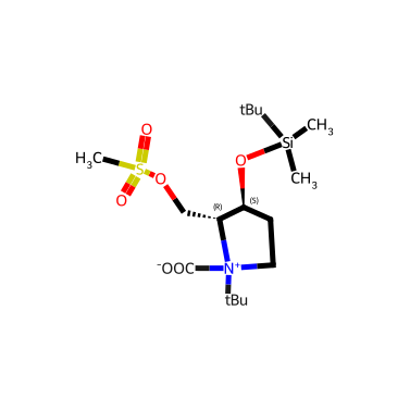 CC(C)(C)[N+]1(C(=O)[O-])CC[C@H](O[Si](C)(C)C(C)(C)C)[C@H]1COS(C)(=O)=O